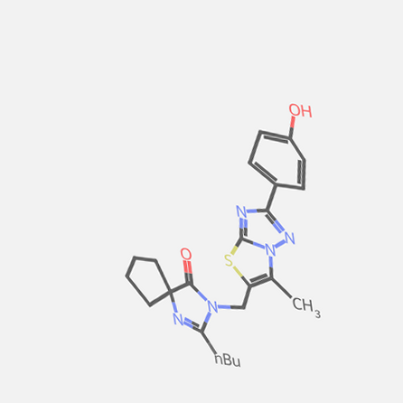 CCCCC1=NC2(CCCC2)C(=O)N1Cc1sc2nc(-c3ccc(O)cc3)nn2c1C